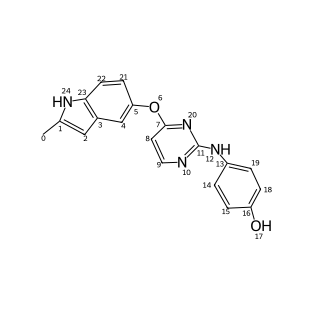 Cc1cc2cc(Oc3ccnc(Nc4ccc(O)cc4)n3)ccc2[nH]1